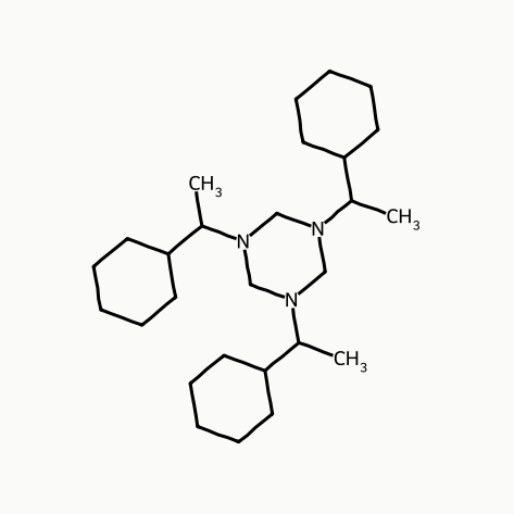 CC(C1CCCCC1)N1CN(C(C)C2CCCCC2)CN(C(C)C2CCCCC2)C1